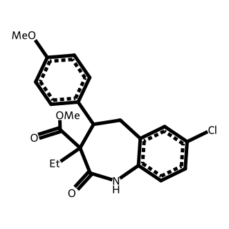 CCC1(C(=O)OC)C(=O)Nc2ccc(Cl)cc2CC1c1ccc(OC)cc1